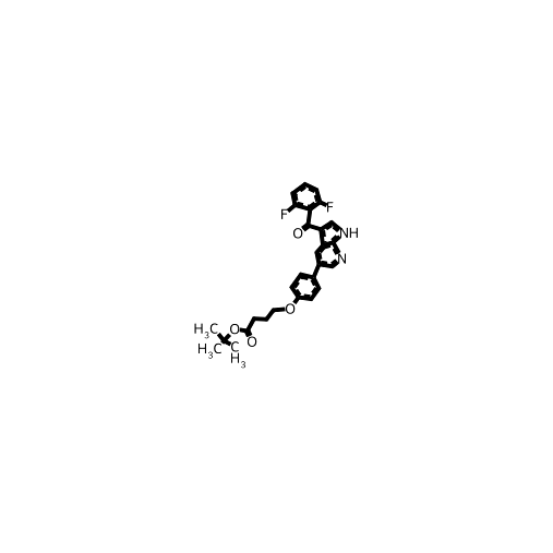 CC(C)(C)OC(=O)CCCOc1ccc(-c2cnc3[nH]cc(C(=O)c4c(F)cccc4F)c3c2)cc1